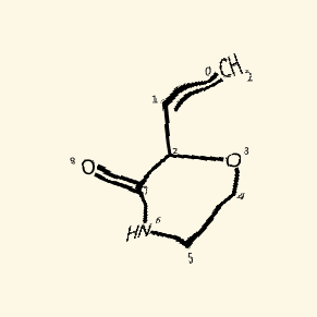 C=CC1OCCNC1=O